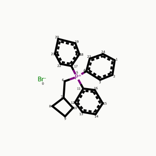 [Br-].c1ccc([P+](CC2CCC2)(c2ccccc2)c2ccccc2)cc1